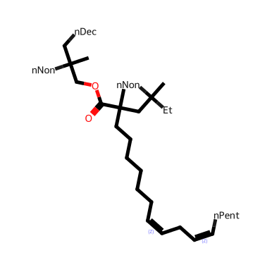 CCCCC/C=C\C/C=C\CCCCCCC(C)(CC(C)(CC)CCCCCCCCC)C(=O)OCC(C)(CCCCCCCCC)CCCCCCCCCCC